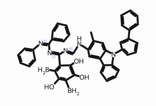 Bc1c(O)c(B)c(C(=N/C(=N\c2ccccc2)c2ccccc2)/N=C/Nc2cc3c4ccccc4n(-c4cccc(-c5ccccc5)c4)c3cc2C)c(O)c1O